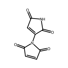 O=C1C=C(N2C(=O)C=CC2=O)C(=O)N1